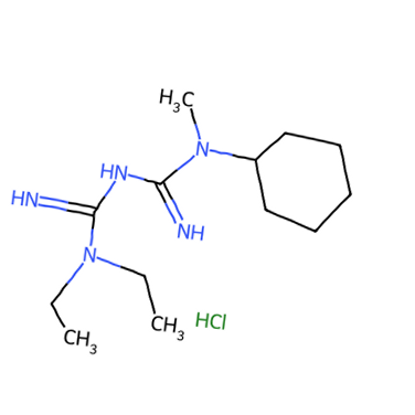 CCN(CC)C(=N)NC(=N)N(C)C1CCCCC1.Cl